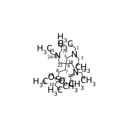 CCN(CC)CC(CC[Si](CC)(OC)OC)(CN(CC)CC)CN(CC)CC